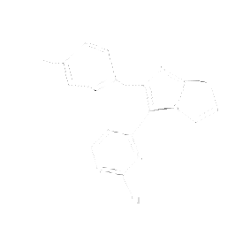 Nc1nccc(-c2c(-c3ccc(F)cc3)nc3occn23)n1